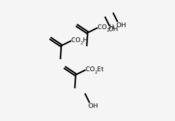 C=C(C)C(=O)O.C=C(C)C(=O)O.C=C(C)C(=O)OCC.CO.CO.CO